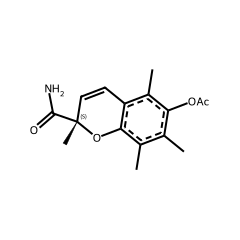 CC(=O)Oc1c(C)c(C)c2c(c1C)C=C[C@@](C)(C(N)=O)O2